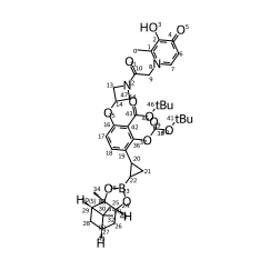 Cc1c(O)c(=O)ccn1CC(=O)N1CC(Oc2ccc(C3CC3B3O[C@@H]4C[C@@H]5C[C@@H](C5(C)C)[C@]4(C)O3)c(OC(=O)OC(C)(C)C)c2C(=O)OC(C)(C)C)C1